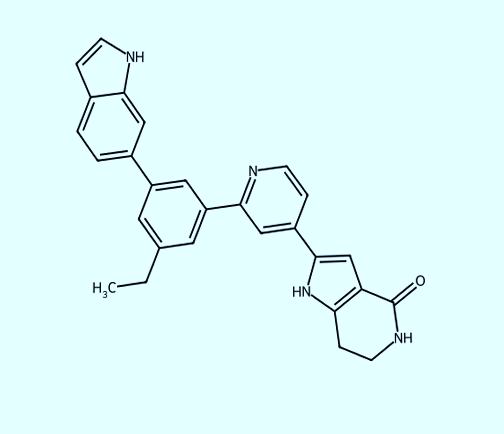 CCc1cc(-c2ccc3cc[nH]c3c2)cc(-c2cc(-c3cc4c([nH]3)CCNC4=O)ccn2)c1